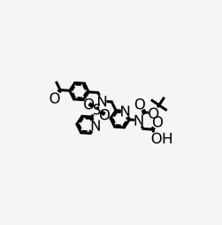 CC(=O)c1ccc(CN(Cc2cccc(N(CC(=O)O)C(=O)OC(C)(C)C)n2)S(=O)(=O)c2ccccn2)cc1